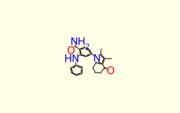 Cc1c2c(n(-c3ccc(C(N)=O)c(Nc4ccccc4)c3)c1C)CCCC2=O